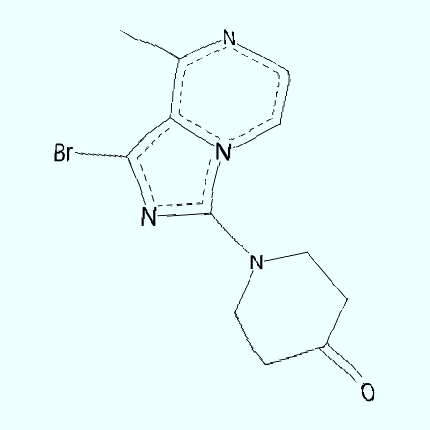 Cc1nccn2c(N3CCC(=O)CC3)nc(Br)c12